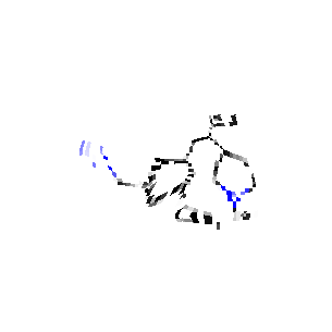 Cc1cc(CN)cc(CC(C2CCN(C(C)(C)C)C2)C(C)(C)C)c1